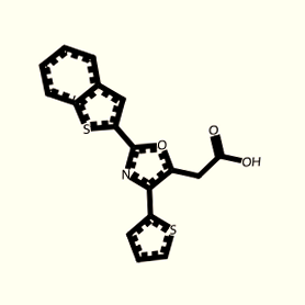 O=C(O)Cc1oc(-c2cc3ccccc3s2)nc1-c1cccs1